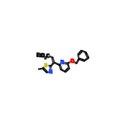 CCOC(=O)/C=C(/c1cccc(OCc2ccccc2)n1)c1ncc(C)s1